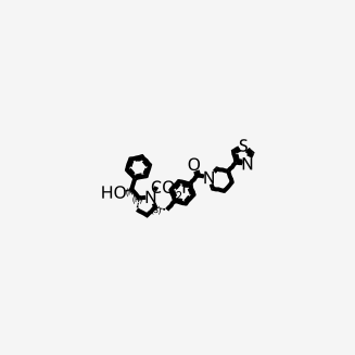 O=C(c1ccc(C[C@@H]2CC[C@H]([C@H](O)c3ccccc3)N2C(=O)O)cc1)N1CCCC(c2cscn2)C1